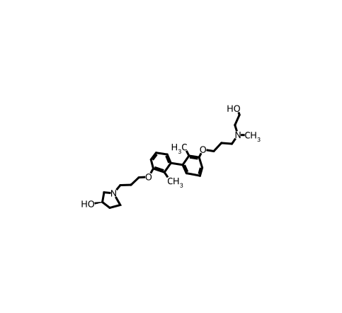 Cc1c(OCCCN(C)CCO)cccc1-c1cccc(OCCCN2CC[C@@H](O)C2)c1C